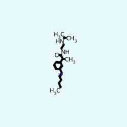 CCCC/C=C/c1cccc(C(C)C(=O)NCCNC(C)C)c1